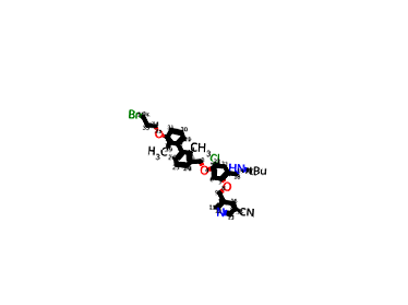 Cc1c(COc2cc(OCc3cncc(C#N)c3)c(CNC(C)(C)C)cc2Cl)cccc1-c1cccc(OCCCBr)c1C